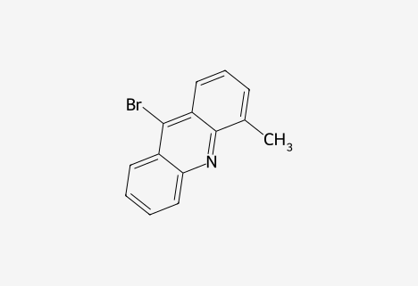 Cc1cccc2c(Br)c3ccccc3nc12